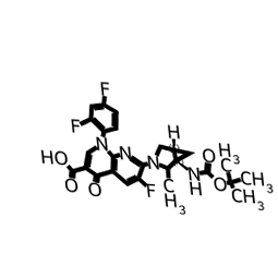 CC1N(c2nc3c(cc2F)c(=O)c(C(=O)O)cn3-c2ccc(F)cc2F)C[C@@H]2C[C@]12NC(=O)OC(C)(C)C